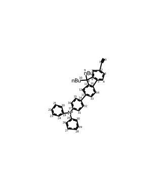 C#Cc1ccc2c(c1)C(CCCC)(CCCC)c1cc(-c3ccc(N(c4ccccc4)c4ccccc4)cc3)ccc1-2